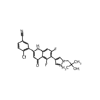 CC(C)(O)Cn1cc(-c2c(F)cc3[nH]c(-c4cc(C#N)ccc4Cl)cc(=O)c3c2F)cn1